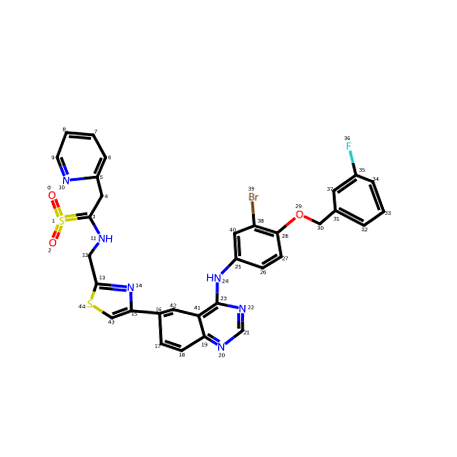 O=S(=O)=C(Cc1ccccn1)NCc1nc(-c2ccc3ncnc(Nc4ccc(OCc5cccc(F)c5)c(Br)c4)c3c2)cs1